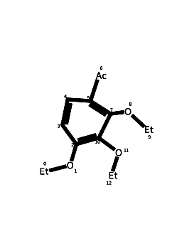 CCOc1ccc(C(C)=O)c(OCC)c1OCC